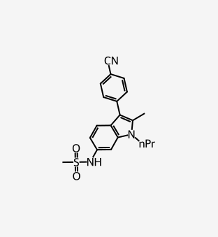 CCCn1c(C)c(-c2ccc(C#N)cc2)c2ccc(NS(C)(=O)=O)cc21